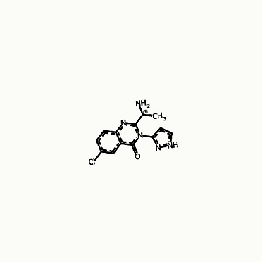 C[C@H](N)c1nc2ccc(Cl)cc2c(=O)n1-c1cc[nH]n1